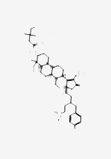 CC(C)C1=C2[C@H]3CC[C@@H]4[C@@]5(C)CC[C@H](OC(=O)CC(C)(C)CC(=O)O)C(C)(C)[C@@H]5CC[C@@]4(C)[C@]3(C)CC[C@@]2([C@@H](O)CC(CCN(C)C)Cc2ccc(Cl)cc2)CC1=O